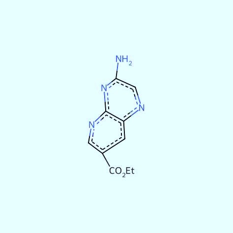 CCOC(=O)c1cnc2nc(N)cnc2c1